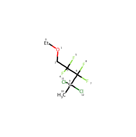 CCOCC(F)(F)C(F)(F)[Si](C)(Cl)Cl